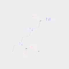 CCN(CCNCC(N)=O)C(=O)OC(C)(C)C